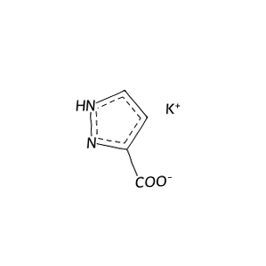 O=C([O-])c1cc[nH]n1.[K+]